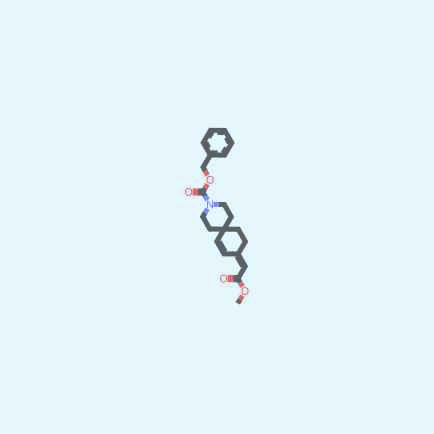 COC(=O)C=C1C=CC2(CC1)CCN(C(=O)OCc1ccccc1)CC2